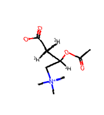 [2H]C(C[N+](C)(C)C)(OC(C)=O)C([2H])([2H])C(=O)[O-]